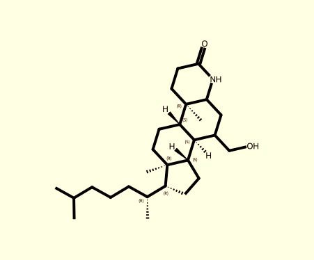 CC(C)CCC[C@@H](C)[C@H]1CC[C@H]2[C@@H]3C(CO)CC4NC(=O)CC[C@]4(C)[C@H]3CC[C@]12C